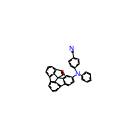 N#Cc1ccc(N(c2ccccc2)c2ccc3c(c2)C24c5ccccc5-c5cccc(c52)-c2cccc-3c24)cc1